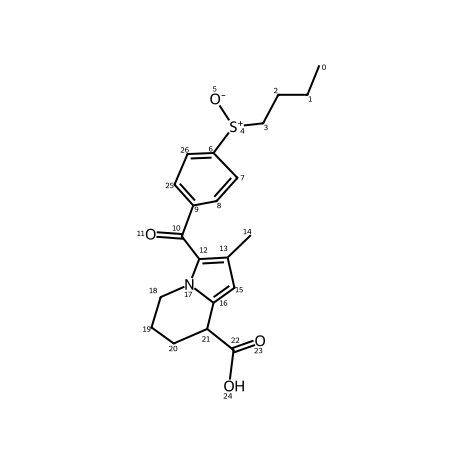 CCCC[S+]([O-])c1ccc(C(=O)c2c(C)cc3n2CCCC3C(=O)O)cc1